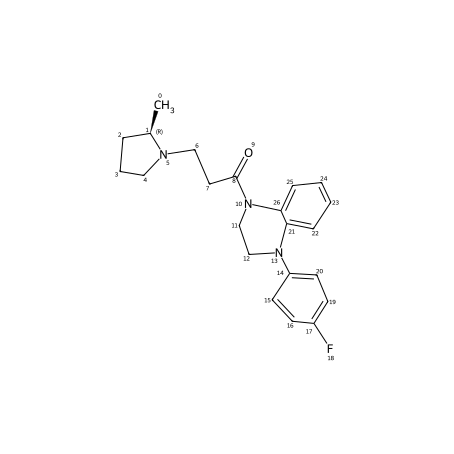 C[C@@H]1CCCN1CCC(=O)N1CCN(c2ccc(F)cc2)c2ccccc21